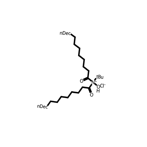 CCCCCCCCCCCCCCCCCC(=O)[N+](O)(C(=O)CCCCCCCCCCCCCCCCC)C(C)(C)C.[Cl-]